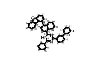 c1ccc(C2=NC(c3cccc(-c4ccccc4)c3)=NC(c3ccc(-c4cccc5oc6ccccc6c45)c4ccccc34)N2)cc1